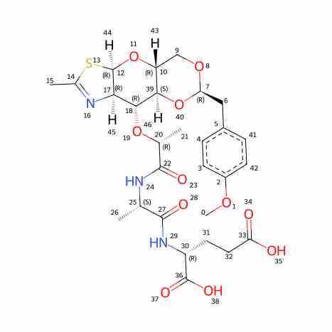 COc1ccc(C[C@@H]2OC[C@H]3O[C@@H]4SC(C)=N[C@@H]4[C@@H](O[C@H](C)C(=O)N[C@@H](C)C(=O)N[C@H](CCC(=O)O)C(=O)O)[C@@H]3O2)cc1